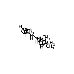 C[C@@H]1[C@@H](NCCNC[C@@H]2CC[C@H]3CC2C3(C)C)C[C@H]2C[C@@H]1C2(C)C